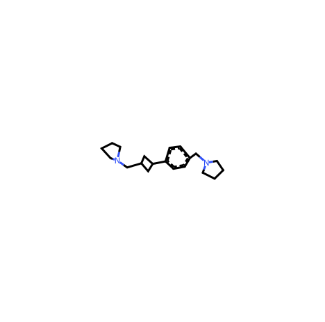 c1cc(C2CC(CN3CCCC3)C2)ccc1CN1CCCC1